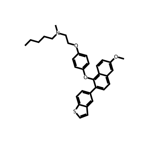 CCCCCN(C)CCOc1ccc(Oc2c(-c3ccc4sccc4c3)ccc3cc(OC)ccc23)cc1